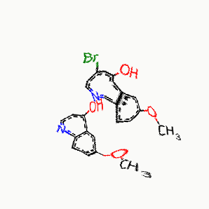 COc1ccc2ncc(Br)c(O)c2c1.COc1ccc2nccc(O)c2c1